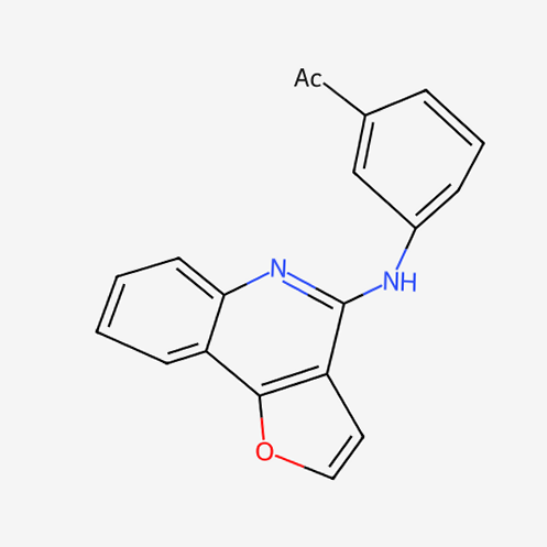 CC(=O)c1cccc(Nc2nc3ccccc3c3occc23)c1